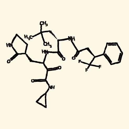 CC(C)(C)C[C@H](NC(=O)C[C@@H](c1ccccc1)C(F)(F)F)C(=O)NC(C[C@@H]1CCNC1=O)C(=O)C(=O)NC1CC1